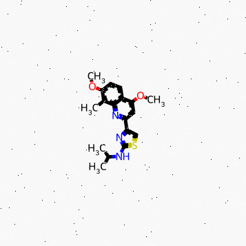 COc1ccc2c(OC)cc(-c3csc(NC(C)C)n3)nc2c1C